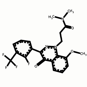 COc1cccc2c(=O)c(-c3cccc(C(F)(F)F)c3F)nn(CCC(=O)N(C)C)c12